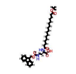 CC(C)(C)OC(=O)CCCCCCCCCCCCCCCC(=O)N[C@@H](CCNC(=O)OCC1c2ccccc2-c2ccccc21)C(=O)O